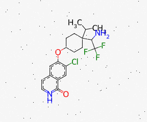 CC(C)C1(C(N)C(F)(F)F)CCC(Oc2cc3cc[nH]c(=O)c3cc2Cl)CC1